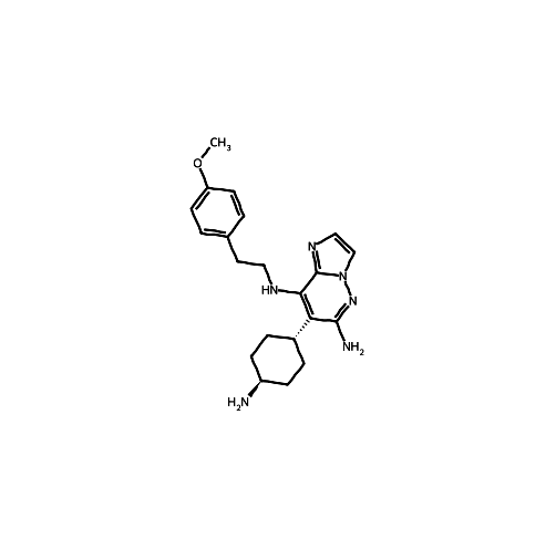 COc1ccc(CCNc2c3nccn3nc(N)c2[C@H]2CC[C@H](N)CC2)cc1